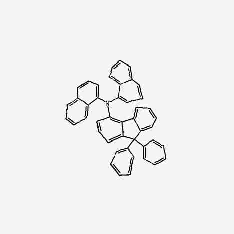 c1ccc(C2(c3ccccc3)c3ccccc3-c3c(N(c4cccc5ccccc45)c4cccc5ccccc45)cccc32)cc1